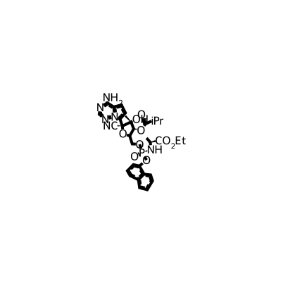 CCOC(=O)[C@H](C)N[P@](=O)(OCC1O[C@@](C#N)(c2ccc3c(N)ncnn23)[C@](C)(O)[C@@H]1OC(=O)C(C)C)Oc1cccc2ccccc12